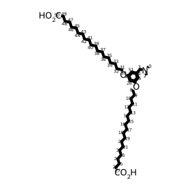 CN(C)Cc1cc(OCCCCCCCCCCCCCCCCCCCC(=O)O)cc(OCCCCCCCCCCCCCCCCCCCC(=O)O)c1